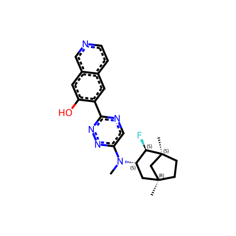 CN(c1cnc(-c2cc3ccncc3cc2O)nn1)[C@H]1C[C@]2(C)CC[C@@](C)(C2)[C@@H]1F